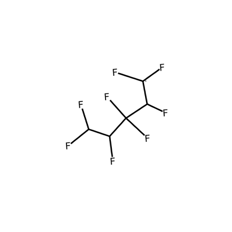 F[C](F)C(F)C(F)(F)C(F)C(F)F